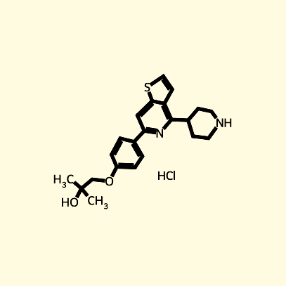 CC(C)(O)COc1ccc(-c2cc3sccc3c(C3CCNCC3)n2)cc1.Cl